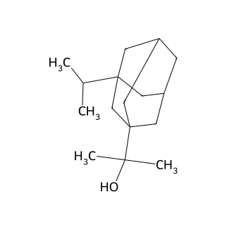 CC(C)C12CC3CC(C1)CC(C(C)(C)O)(C3)C2